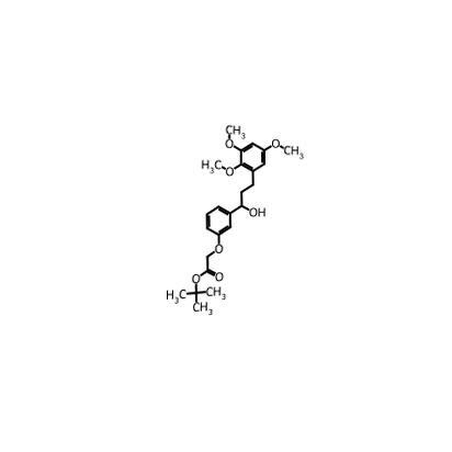 COc1cc(CCC(O)c2cccc(OCC(=O)OC(C)(C)C)c2)c(OC)c(OC)c1